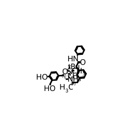 C[C@H](Cc1cccc(CC(=O)Nc2ccccc2)c1)NC[C@@H](O[Si](C)(C)C(C)(C)C)c1ccc(O)c(CO)c1